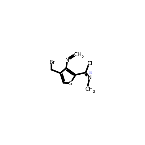 C=Nc1c(CBr)csc1/C(Cl)=N\C